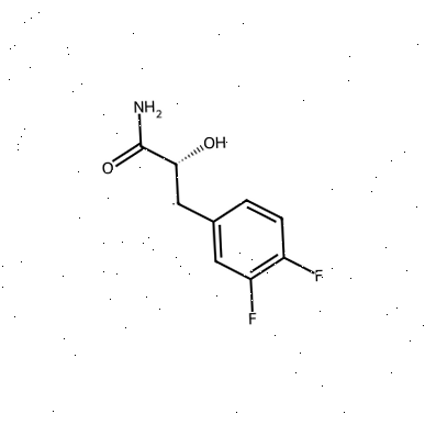 NC(=O)[C@H](O)[CH]c1ccc(F)c(F)c1